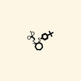 COC(=O)CS[C@@H]1CCCCC[C@H]1Sc1ccc(C(C)(C)C)cc1